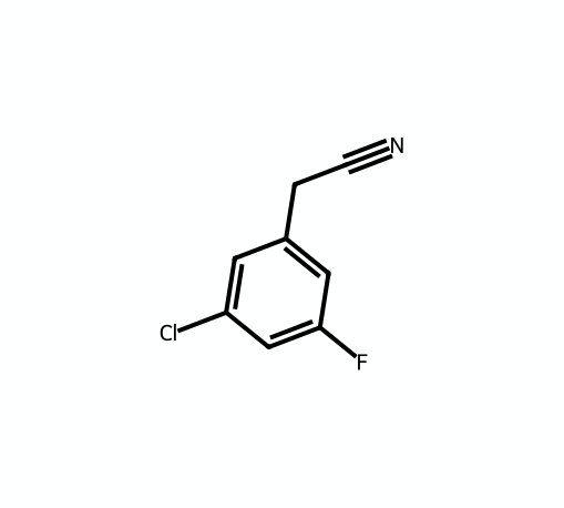 N#CCc1cc(F)cc(Cl)c1